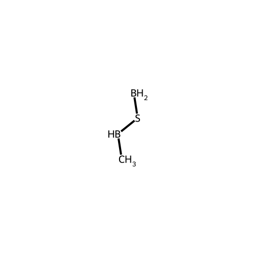 BSBC